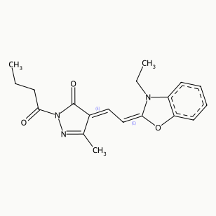 CCCC(=O)N1N=C(C)/C(=C\C=C2\Oc3ccccc3N2CC)C1=O